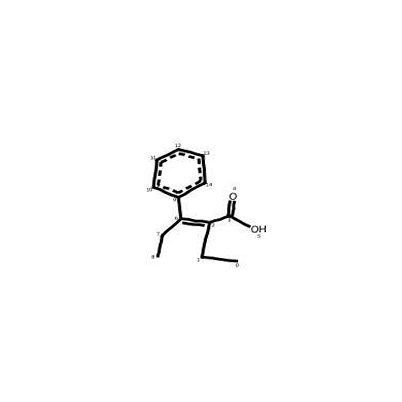 CCC(C(=O)O)=C(CC)c1ccccc1